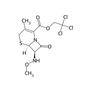 CON[C@@H]1C(=O)N2C(C(=O)OCC(Cl)(Cl)Cl)=C(C)CS[C@H]12